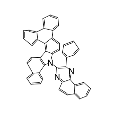 c1ccc(-c2nc3c(ccc4ccccc43)nc2-n2c3ccc4c5ccccc5c5ccccc5c4c3c3ccc4ccccc4c32)cc1